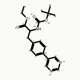 CCOC(=O)C(Cc1ccc(-c2cncnc2)cc1)NC(=O)OC(C)(C)C